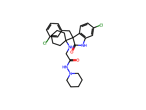 O=C(CNC1(C2(Cc3cccc(Cl)c3)C(=O)Nc3cc(Cl)ccc32)CCCCC1)NN1CCCCC1